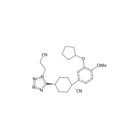 COc1ccc([C@]2(C#N)CC[C@H](c3nnnn3CCC#N)CC2)cc1OC1CCCC1